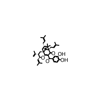 C=C(C)[C@@H]1C[C@]23C[C@H](CC=C(C)C)C(C)(C)[C@](CC=C(C)C)(C(=O)C(C(=O)c4ccc(O)c(O)c4)=C2O[C@H]1C=C(C)C)C3=O